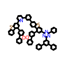 c1ccc(-c2cc(-c3ccccc3)cc(-c3nc(-c4ccccc4)nc(-c4cc(-c5ccc6oc7ccccc7c6c5)c5c(c4)sc4cc(-c6cccc(-c7cccc(-c8cc(-c9ccc%10oc%11ccccc%11c%10c9)c9c(c8)sc8ccccc89)n7)c6)ccc45)n3)c2)cc1